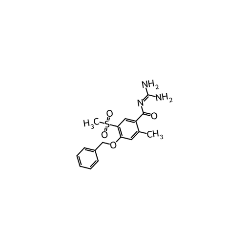 Cc1cc(OCc2ccccc2)c(S(C)(=O)=O)cc1C(=O)N=C(N)N